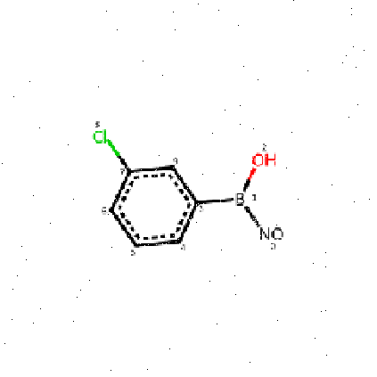 O=NB(O)c1cccc(Cl)c1